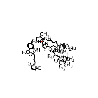 CC[C@H](C)[C@H](NC(=O)C(C)(C)N(C)C)C(=O)N(C)[C@H](C[C@@H](OC(C)=O)c1nc(C(=O)N[C@@H](Cc2ccc(O)c(NC(=O)CCCN3C(=O)C=CC3=O)c2)CC(C)C(=O)NCCCCNNC(=O)OC(C)(C)C)cs1)C(C)C